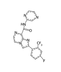 O=C(Nc1cnccn1)c1nccn2cc(-c3ccc(F)cc3C(F)(F)F)nc12